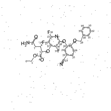 CCOC(=O)C(CCC(N)=O)Oc1c(F)c(F)nc(Oc2cc(C#N)ccc2OCc2ccccc2)c1F